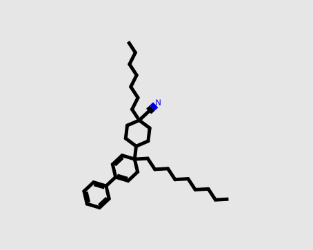 CCCCCCCCCC1(C2CCC(C#N)(CCCCCCC)CC2)C=CC(c2ccccc2)=CC1